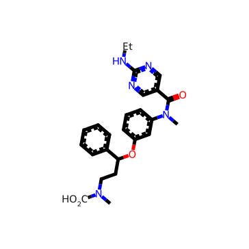 CCNc1ncc(C(=O)N(C)c2cccc(OC(CCN(C)C(=O)O)c3ccccc3)c2)cn1